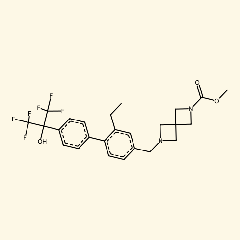 CCc1cc(CN2CC3(C2)CN(C(=O)OC)C3)ccc1-c1ccc(C(O)(C(F)(F)F)C(F)(F)F)cc1